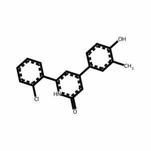 Cc1cc(-c2cc(-c3ccccc3Cl)[nH]c(=O)c2)ccc1O